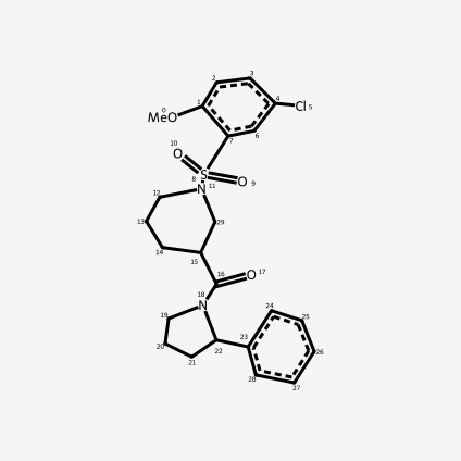 COc1ccc(Cl)cc1S(=O)(=O)N1CCCC(C(=O)N2CCCC2c2ccccc2)C1